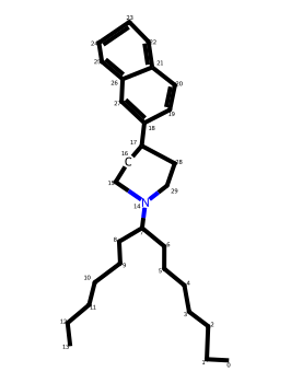 CCCCCCCC(CCCCCC)N1CCC(c2ccc3ccccc3c2)CC1